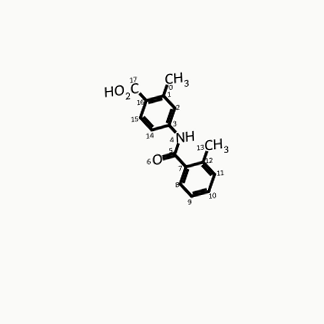 Cc1cc(NC(=O)c2ccccc2C)ccc1C(=O)O